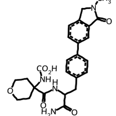 CN1Cc2ccc(-c3ccc(CC(NC(=O)C4(NC(=O)O)CCOCC4)C(N)=O)cc3)cc2C1=O